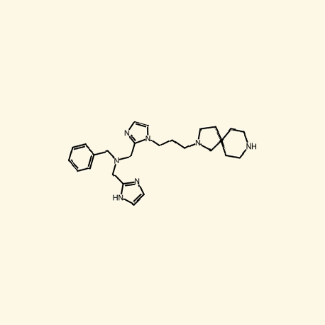 c1ccc(CN(Cc2ncc[nH]2)Cc2nccn2CCCN2CCC3(CCNCC3)C2)cc1